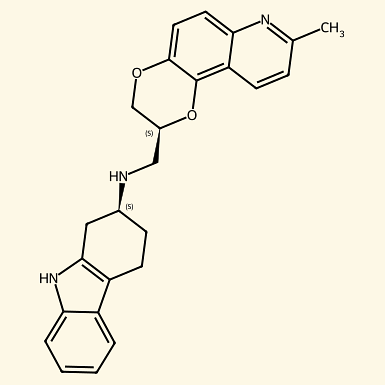 Cc1ccc2c3c(ccc2n1)OC[C@H](CN[C@H]1CCc2c([nH]c4ccccc24)C1)O3